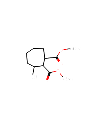 CCCCCCCCCCOC(=O)C1CCCCC(C)C1C(=O)OCCCCCCCCCC